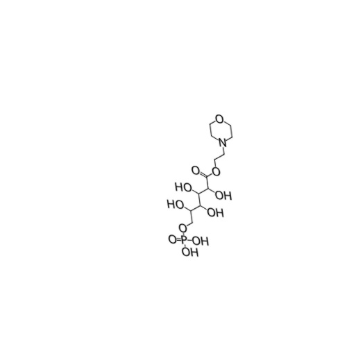 O=C(OCCN1CCOCC1)C(O)C(O)C(O)C(O)COP(=O)(O)O